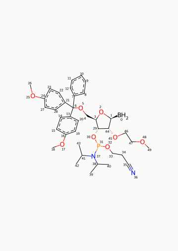 B[C@@H]1O[C@H](COC(c2ccccc2)(c2ccc(OC)cc2)c2ccc(OC)cc2)[C@@H](OP(OCCC#N)N(C(C)C)C(C)C)[C@H]1OCCOC